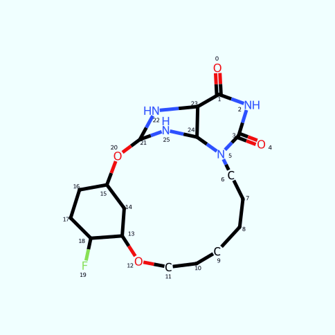 O=C1NC(=O)N2CCCCCCOC3CC(CCC3F)OC3NC1C2N3